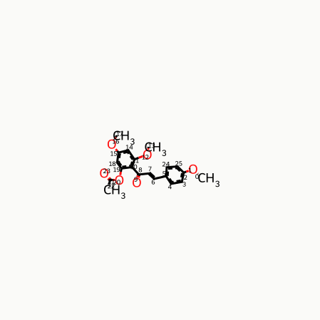 COc1ccc(C=CC(=O)c2c(OC)cc(OC)cc2OC(C)=O)cc1